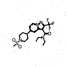 CCN(CC)C(=O)c1c(C(F)(F)F)nn2ccc(C3CCN(S(C)(=O)=O)CC3)cc12